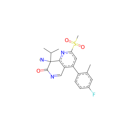 Cc1cc(F)ccc1-c1cc(S(C)(=O)=O)nc2c1C=NC(=O)C2([N])C(C)C